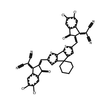 N#CC(C#N)=C1/C(=C/c2cc3c(s2)-c2sc(/C=C4\C(=O)c5cc(Cl)c(Cl)cc5C4=C(C#N)C#N)cc2C32CCCCC2)C(=O)c2cc(Cl)c(Cl)cc21